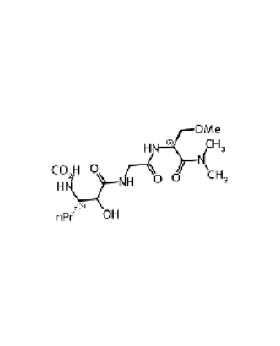 CCC[C@H](NC(=O)O)C(O)C(=O)NCC(=O)N[C@@H](COC)C(=O)N(C)C